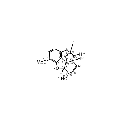 COc1ccc2c3c1O[C@H]1[C@@H](O)C=C[C@H]4[C@@H](C2)C(C)CC[C@@]341